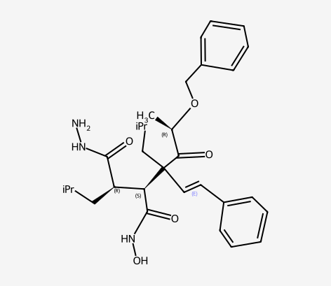 CC(C)C[C@@H](C(=O)NN)[C@H](C(=O)NO)C(/C=C/c1ccccc1)(CC(C)C)C(=O)[C@@H](C)OCc1ccccc1